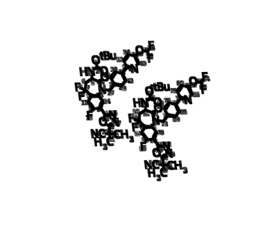 CC(C)(C)OC(=O)NC1CC(F)(F)c2cc(F)c(-c3nnc(C(C)(C)C#N)o3)cc2N(Cc2ccc(-c3ccc(OC(F)F)cn3)cc2)C1=O.CC(C)(C)OC(=O)N[C@@H]1CC(F)(F)c2cc(F)c(-c3nnc(C(C)(C)C#N)o3)cc2N(Cc2ccc(-c3ccc(OC(F)F)cn3)cc2)C1=O